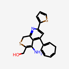 NC1=C(CO)SCc2nc(-c3cccs3)cc(C3=CCC=CC=C3)c21